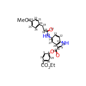 CCOC(=O)c1ccc(OC(=O)c2c[nH]c3ccc(NC(=O)CCc4ccc(OC)cc4)cc23)cc1